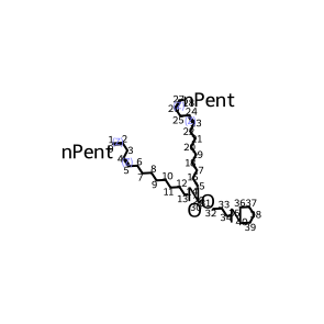 CCCCC/C=C\C/C=C\CCCCCCCCN(CCCCCCCC/C=C\C/C=C\CCCCC)C(=O)OCCCN1CCCCC1